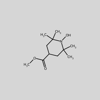 COC(=O)C1CC(C)(C)N(O)C(C)(C)C1